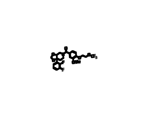 COc1cc(C(=O)N2CC[C@]3(c4cccc(F)c4F)OCOC3C2)ccc1OCCOC(F)(F)F